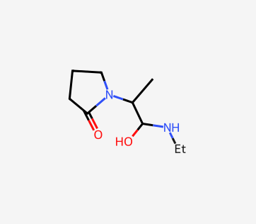 CCNC(O)C(C)N1CCCC1=O